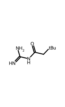 CC(C)(C)CC(=O)NC(=N)N